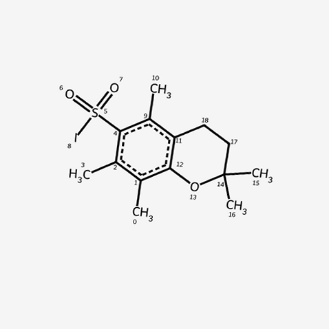 Cc1c(C)c(S(=O)(=O)I)c(C)c2c1OC(C)(C)CC2